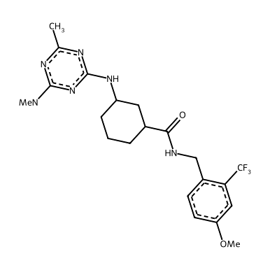 CNc1nc(C)nc(NC2CCCC(C(=O)NCc3ccc(OC)cc3C(F)(F)F)C2)n1